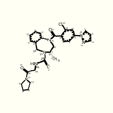 C[C@H]1CN(C(=O)c2ccc(-n3cccn3)cc2Cl)c2ccccc2CN1C(=O)NCC(=O)N1CCCC1